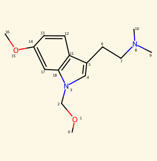 COCn1cc(CCN(C)C)c2ccc(OC)cc21